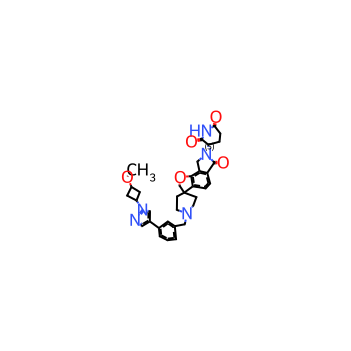 COC1CC(n2cc(-c3cccc(CN4CCC5(CC4)COc4c5ccc5c4CN([C@H]4CCC(=O)NC4=O)C5=O)c3)cn2)C1